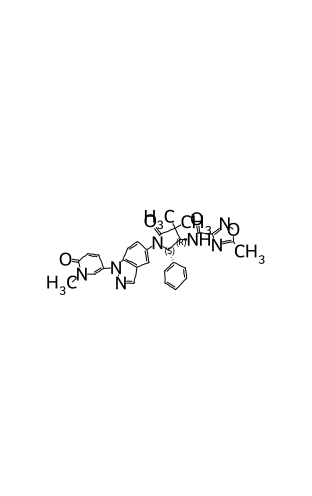 Cc1nc(C(=O)N[C@H]2[C@H](c3ccccc3)N(c3ccc4c(cnn4-c4ccc(=O)n(C)c4)c3)C(=O)C2(C)C)no1